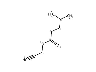 C#CCOC(=O)CCC(C)C